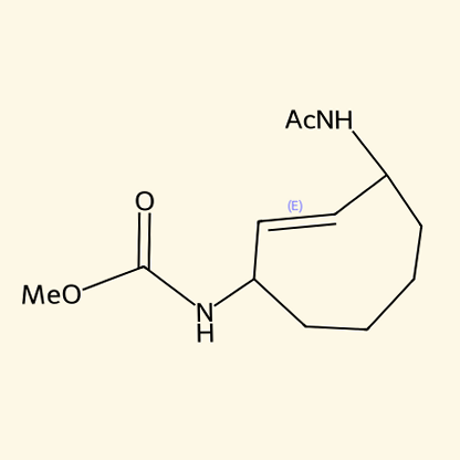 COC(=O)NC1/C=C/C(NC(C)=O)CCCC1